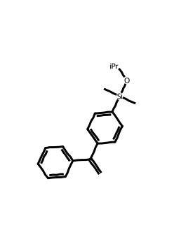 C=C(c1ccccc1)c1ccc([Si](C)(C)OC(C)C)cc1